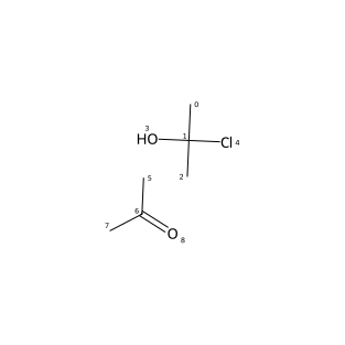 CC(C)(O)Cl.CC(C)=O